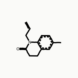 C=CCN1C(=O)CCc2cc(C)ccc21